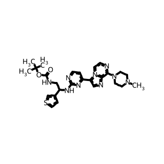 CN1CCN(c2nccn3c(-c4ccnc(NC(CNC(=O)OC(C)(C)C)c5ccsc5)n4)cnc23)CC1